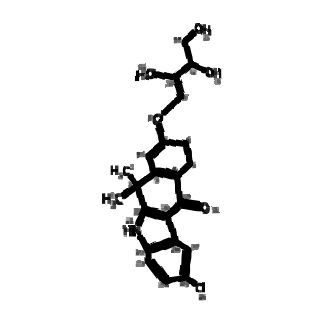 CC1(C)C2=C(CCC(OCC(O)C(O)CO)=C2)C(=O)c2c1[nH]c1ccc(Cl)cc21